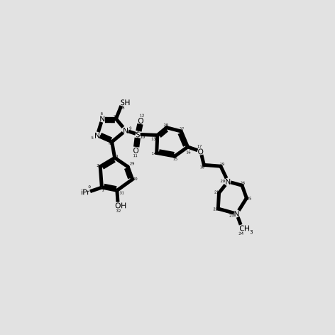 CC(C)c1cc(-c2nnc(S)n2S(=O)(=O)c2ccc(OCCN3CCN(C)CC3)cc2)ccc1O